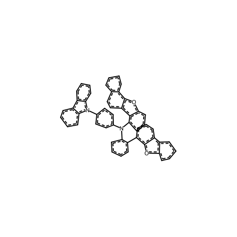 c1ccc(N(c2ccc(-n3c4ccccc4c4ccccc43)cc2)c2cccc3oc4c5ccccc5ccc4c23)c(-c2cccc3c2oc2ccccc23)c1